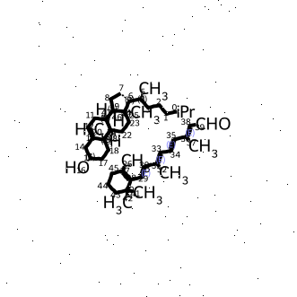 CC(C)CCC[C@@H](C)[C@H]1CC[C@H]2[C@@H]3CC=C4C[C@@H](O)CC[C@]4(C)[C@H]3CC[C@]12C.CC1=C(/C=C/C(C)=C/C=C/C(C)=C/C=O)C(C)(C)CCC1